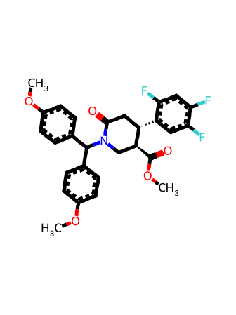 COC(=O)[C@H]1CN(C(c2ccc(OC)cc2)c2ccc(OC)cc2)C(=O)C[C@@H]1c1cc(F)c(F)cc1F